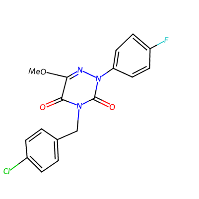 COc1nn(-c2ccc(F)cc2)c(=O)n(Cc2ccc(Cl)cc2)c1=O